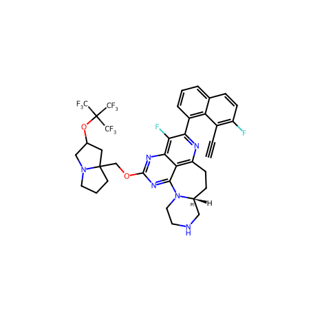 C#Cc1c(F)ccc2cccc(-c3nc4c5c(nc(OCC67CCCN6CC(OC(C(F)(F)F)(C(F)(F)F)C(F)(F)F)C7)nc5c3F)N3CCNC[C@H]3CC4)c12